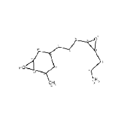 CCCC1OC1CCCC1CC(C)C2OC2C1